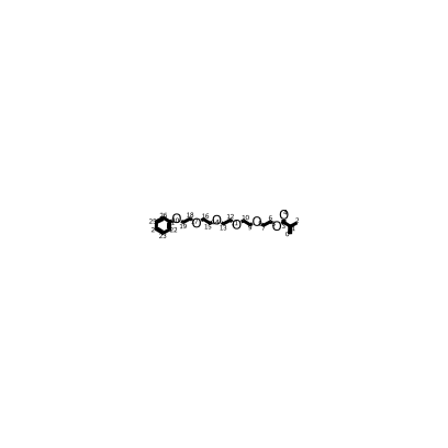 C=C(C)C(=O)OCCOCCOCCOCCOCCOc1ccccc1